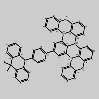 CC1(C)c2ccccc2N(c2ccc(-c3cc4c5c(c3)n3c6ccccc6sc6cccc(c63)n-5c3cccc5sc6ccccc6n4c53)cc2)c2ccccc21